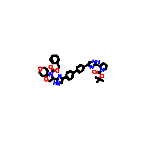 CC(C)(C)OC(=O)N1CCCC1c1nc(-c2ccc(-c3ccc(-c4c[nH]c(C5COC6(CCOCC6)N5C(=O)OCc5ccccc5)n4)cc3)cc2)c[nH]1